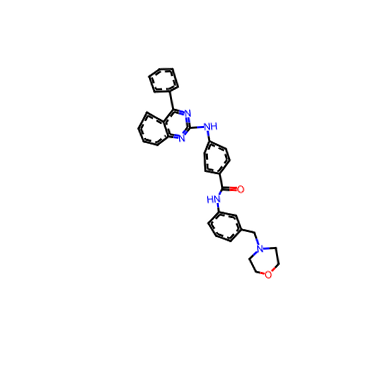 O=C(Nc1cccc(CN2CCOCC2)c1)c1ccc(Nc2nc(-c3ccccc3)c3ccccc3n2)cc1